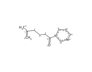 C=C(C)CCCC(=O)c1cccnc1